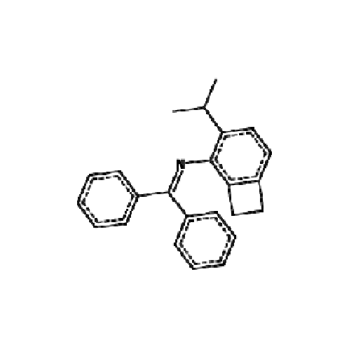 CC(C)c1ccc2c(c1N=C(c1ccccc1)c1ccccc1)CC2